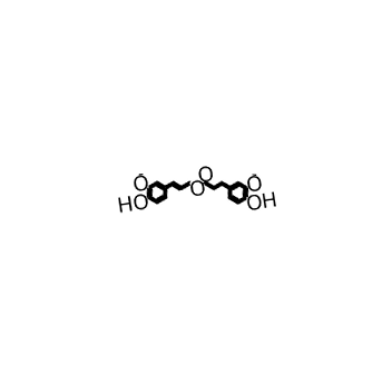 COc1cc(C=CCOC(=O)CCc2ccc(O)c(OC)c2)ccc1O